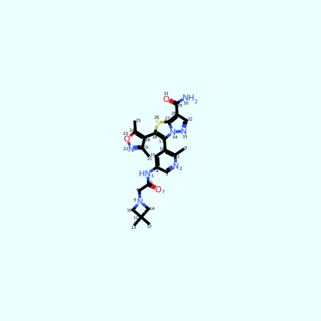 Cc1ncc(NC(=O)CN2CC(C)(C)C2)cc1-c1c(-c2c(C)noc2C)sc2c(C(N)=O)cnn12